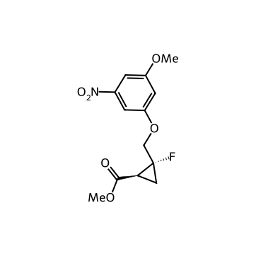 COC(=O)[C@@H]1C[C@]1(F)COc1cc(OC)cc([N+](=O)[O-])c1